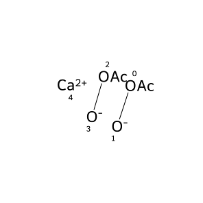 CC(=O)O[O-].CC(=O)O[O-].[Ca+2]